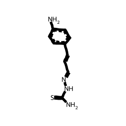 NC(=S)NN=CC=Cc1ccc(N)cc1